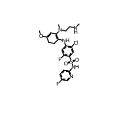 CNCCN(C)C1=C(Nc2cc(F)c(S(=O)(=O)Nc3ccc(F)cn3)cc2Cl)CCC(OC)=C1